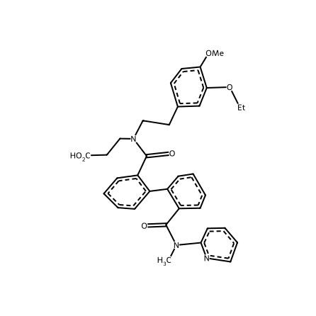 CCOc1cc(CCN(CCC(=O)O)C(=O)c2ccccc2-c2ccccc2C(=O)N(C)c2ccccn2)ccc1OC